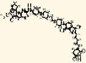 CN(C)C(=O)c1cc2cnc(Nc3ccc(N4CCN(CCN5CCN(c6ccc7c(c6Cl)CN(CCCCCC6CCC(=O)NC6=O)C7=O)CC5)CC4)cn3)nc2n1C1CCCC1